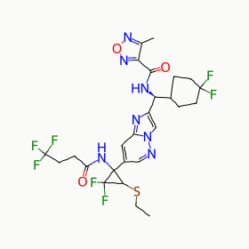 CCSC1C(F)(F)C1(NC(=O)CCC(F)(F)F)c1cnn2cc([C@@H](NC(=O)c3nonc3C)C3CCC(F)(F)CC3)nc2c1